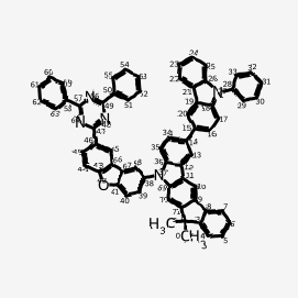 CC1(C)c2ccccc2-c2cc3c4cc(-c5ccc6c(c5)c5ccccc5n6-c5ccccc5)ccc4n(-c4ccc5oc6ccc(-c7nc(-c8ccccc8)nc(-c8ccccc8)n7)cc6c5c4)c3cc21